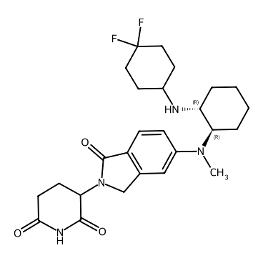 CN(c1ccc2c(c1)CN(C1CCC(=O)NC1=O)C2=O)[C@@H]1CCCC[C@H]1NC1CCC(F)(F)CC1